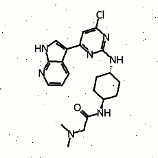 CN(C)CC(=O)N[C@H]1CC[C@H](Nc2nc(Cl)cc(-c3c[nH]c4ncccc34)n2)CC1